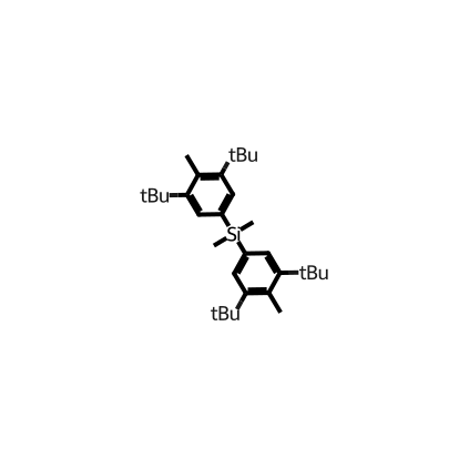 Cc1c(C(C)(C)C)cc([Si](C)(C)c2cc(C(C)(C)C)c(C)c(C(C)(C)C)c2)cc1C(C)(C)C